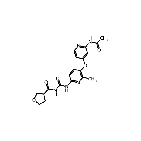 CC(=O)Nc1cc(Oc2ccc(NC(=O)NC(=O)C3CCOC3)nc2C)ccn1